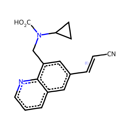 N#C/C=C/c1cc(CN(C(=O)O)C2CC2)c2ncccc2c1